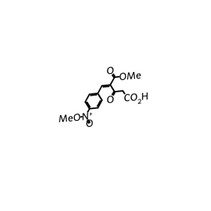 COC(=O)C(=Cc1ccc([N+](=O)OC)cc1)C(=O)CC(=O)O